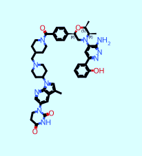 Cc1cn(C2CCN(CC3CCN(C(=O)c4ccc([C@@H]5CN(c6cc(-c7ccccc7O)nnc6N)[C@H](C)[C@H](C)O5)cc4)CC3)CC2)c2ncc(N3CCC(=O)NC3=O)cc12